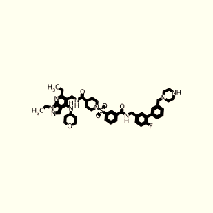 CCc1nc2c(cnn2CC)c(NC2CCOCC2)c1CNC(=O)C1CCN(S(=O)(=O)c2cccc(C(=O)NCc3ccc(F)c(-c4cccc(CN5CCNCC5)c4)c3)c2)CC1